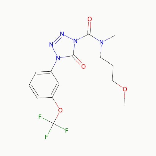 COCCCN(C)C(=O)n1nnn(-c2cccc(OC(F)(F)F)c2)c1=O